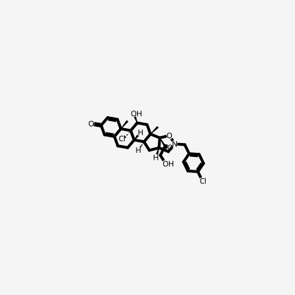 C[C@]12C=CC(=O)C=C1CC[C@H]1[C@@H]3C[C@H]4CN(Cc5ccc(Cl)cc5)O[C@@]4(C(=O)CO)[C@@]3(C)C[C@H](O)[C@@]12Cl